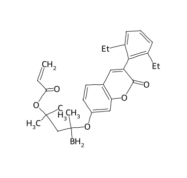 BC(C)(CC(C)(C)OC(=O)C=C)Oc1ccc2cc(-c3c(CC)cccc3CC)c(=O)oc2c1